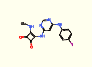 CC(C)(C)Nc1c(Nc2cc(Nc3ccc(I)cc3)ncn2)c(=O)c1=O